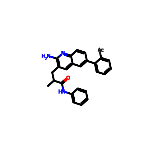 CC(=O)c1ccccc1-c1ccc2nc(N)c(CC(C)C(=O)Nc3ccccc3)cc2c1